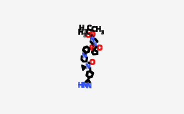 CC(C)(C)OC(=O)N1CCN(C(=O)C2(Oc3cccc(N4CCC[C@@H](C(=O)N(Cc5ccc(-c6cn[nH]c6)cc5)C5CC5)C4)c3)CCCC2)CC1